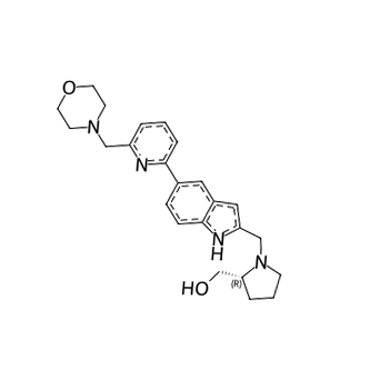 OC[C@H]1CCCN1Cc1cc2cc(-c3cccc(CN4CCOCC4)n3)ccc2[nH]1